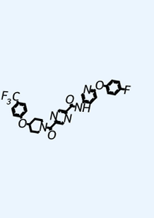 O=C(Nc1ccc(Oc2ccc(F)cc2)nc1)c1cnc(C(=O)N2CCC(Oc3ccc(C(F)(F)F)cc3)CC2)cn1